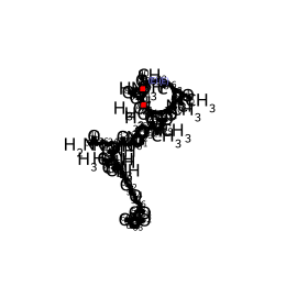 COc1cc2cc(c1Cl)N(C)C(=O)C[C@H](OC(=O)[C@H](C)N(C)C(=O)c1ccc3nc(NC(=O)[C@H](CCCNC(N)=O)NC(=O)[C@@H](NC(=O)NCCOCCOCCC(=O)ON4C(=O)CCC4=O)C(C)C)ccc3c1)C(C)[C@@H](O)[C@H](C)[C@@H]1C[C@@](O)(NC(=O)O1)[C@H](OC)/C=C/C=C(\C)C2